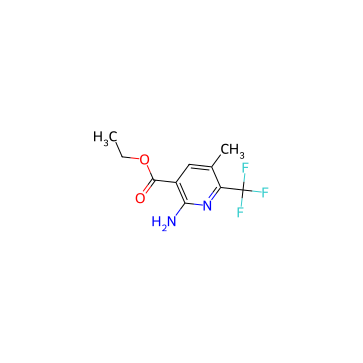 CCOC(=O)c1cc(C)c(C(F)(F)F)nc1N